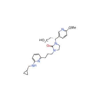 COc1ccc([C@@H](CC(=O)O)N2CCN(CCCc3cccc(NCC4CC4)n3)C2=O)cn1